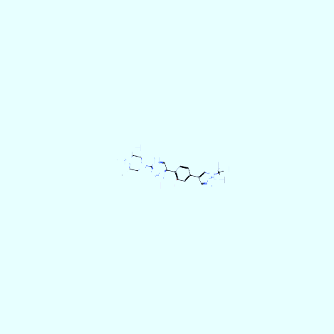 [2H]C([2H])([2H])n1cc(-c2ccc(-c3cnc(N4C[C@@H](C)N(C)[C@@H](C)C4)nn3)c(O)c2)cn1